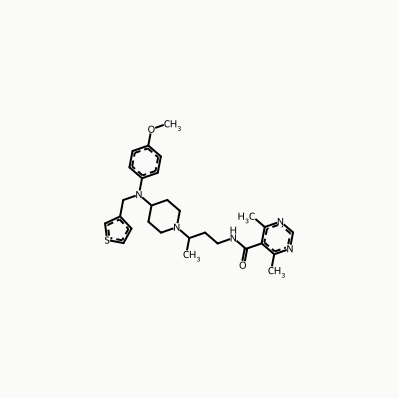 COc1ccc(N(Cc2ccsc2)C2CCN(C(C)CCNC(=O)c3c(C)ncnc3C)CC2)cc1